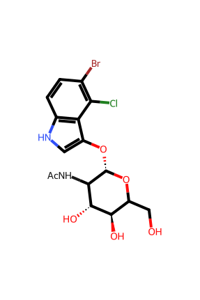 CC(=O)NC1[C@H](Oc2c[nH]c3ccc(Br)c(Cl)c23)OC(CO)[C@@H](O)[C@@H]1O